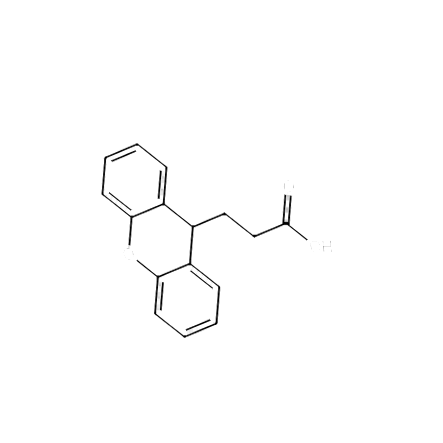 O=C(O)CCC1c2ccccc2Oc2ccccc21